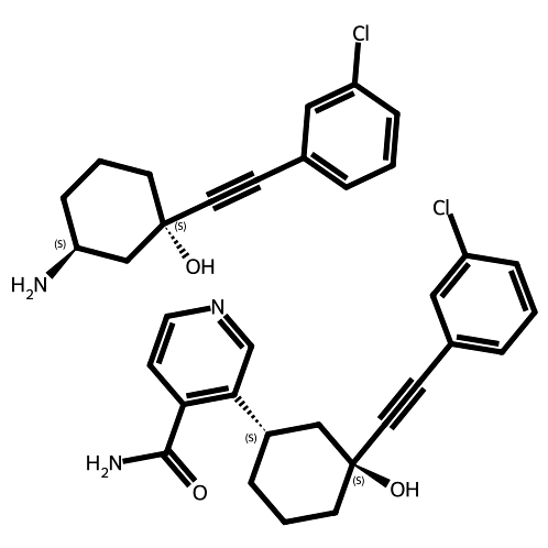 NC(=O)c1ccncc1[C@H]1CCC[C@@](O)(C#Cc2cccc(Cl)c2)C1.N[C@H]1CCC[C@@](O)(C#Cc2cccc(Cl)c2)C1